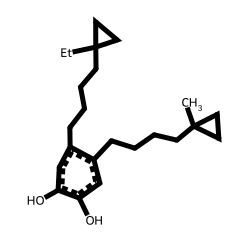 CCC1(CCCCc2cc(O)c(O)cc2CCCCC2(C)CC2)CC1